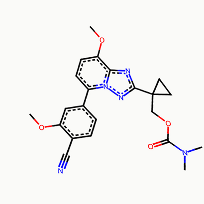 COc1cc(-c2ccc(OC)c3nc(C4(COC(=O)N(C)C)CC4)nn23)ccc1C#N